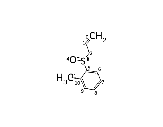 C=CC[S+]([O-])c1ccccc1C